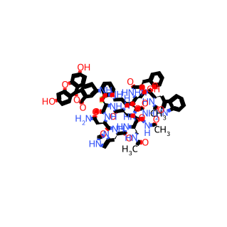 CC(=O)NCCCC[C@H](NC(=O)[C@H](CC(=O)O)NC(=O)[C@@H](Cc1ccccc1)NC(=O)[C@H](Cc1c[nH]c2ccccc12)NC(C)=O)C(=O)N[C@H](Cc1ccccc1)C(=O)N[C@H](CC(N)=O)C(=O)N[C@@H](Cc1c[nH]cn1)C(=O)N[C@@H](CNC(C)=O)C(=O)N[C@@H](CCCCNC(=S)Nc1ccc2c(c1)C(=O)OC21c2ccc(O)cc2Oc2cc(O)ccc21)C(N)=O